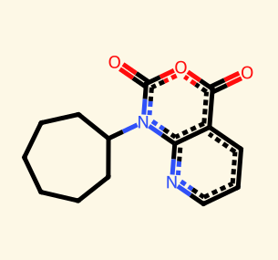 O=c1oc(=O)n(C2CCCCCC2)c2ncccc12